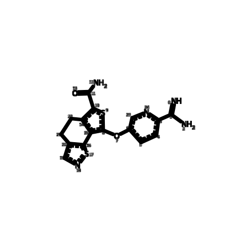 N=C(N)c1ccc(Oc2sc(C(N)=O)c3c2-c2sncc2CC3)cn1